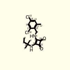 CCC(C)(C)Nc1c(NCc2c(C)cc(Cl)cc2Cl)c(=O)c1=O